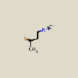 [C-]#[N+]CCC(C)=S